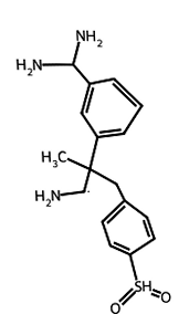 CC([CH]N)(Cc1ccc([SH](=O)=O)cc1)c1cccc(C(N)N)c1